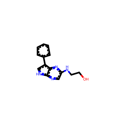 OCCNc1cnc2[nH]cc(-c3ccccc3)c2n1